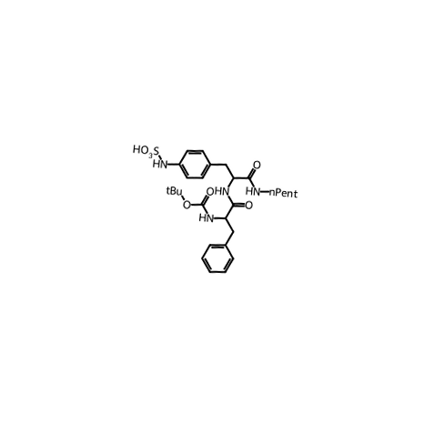 CCCCCNC(=O)C(Cc1ccc(NS(=O)(=O)O)cc1)NC(=O)C(Cc1ccccc1)NC(=O)OC(C)(C)C